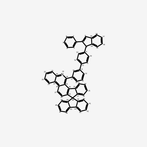 C1=C(c2ccccc2)C(c2ccc(-c3cccc(-c4nc5ccccc5c5ccc6c(c45)-c4ccccc4C64c5ccccc5-c5ccccc54)c3)cc2)c2ccccc21